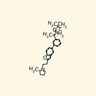 C/C(=N\OC(C)(C)C)c1cccc(-c2ccc3oc(CCN4CCC[C@H]4C)cc3c2)c1